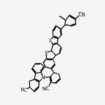 CC1C=C(C#N)C=CC1c1ccc2sc3c(c2c1)C=CC1C2=C(CCC(C4CC=CC(C#N)=C4n4c5c(c6ccccc64)CC(C#N)C=C5)=C2)SC31